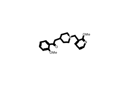 COc1ccccc1C(=O)CC1CCN(Cc2cccnc2OC)CC1